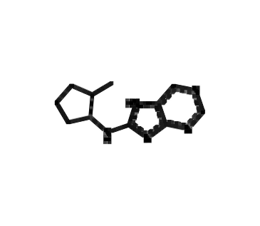 CC1CCCC1Nc1nc2ncncc2[nH]1